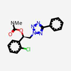 CNC(=O)O[C@@H](Cn1nnc(-c2ccccc2)n1)c1ccccc1Cl